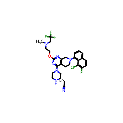 CN(CCOc1nc2c(c(N3CCN[C@@H](CC#N)C3)n1)CCN(c1cccc3ccc(F)c(Cl)c13)C2)CC(F)(F)F